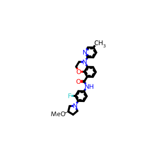 CO[C@H]1CCN(c2ccc(NC(=O)c3cccc4c3OCCN4c3ccc(C)cn3)cc2F)C1